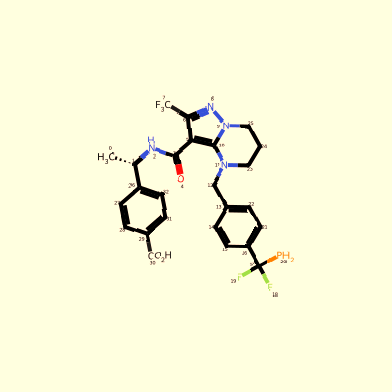 C[C@H](NC(=O)c1c(C(F)(F)F)nn2c1N(Cc1ccc(C(F)(F)P)cc1)CCC2)c1ccc(C(=O)O)cc1